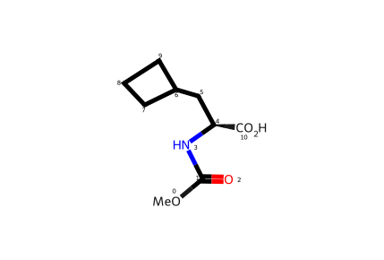 COC(=O)N[C@@H](CC1CCC1)C(=O)O